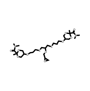 CN(C)C(=O)C1(C)OCC(OCCCSCC(CSCCCOC2COC(C)(C(=O)N(C)C)OC2)OCC2CO2)CO1